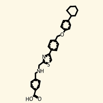 O=C(O)c1ccc(CNCc2nc(-c3ccc(COc4ccc(C5CCCCC5)cc4)cc3)cs2)cc1